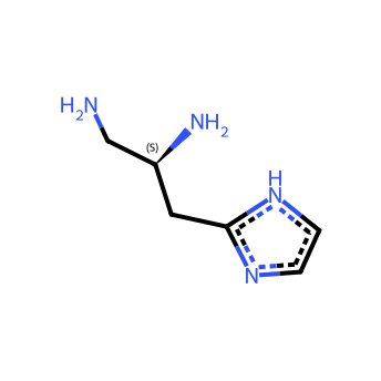 NC[C@@H](N)Cc1ncc[nH]1